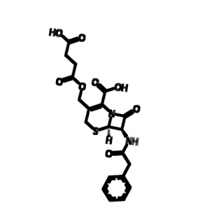 O=C(O)CCC(=O)OCC1=C(C(=O)O)N2C(=O)[C@@H](NC(=O)Cc3ccccc3)[C@H]2SC1